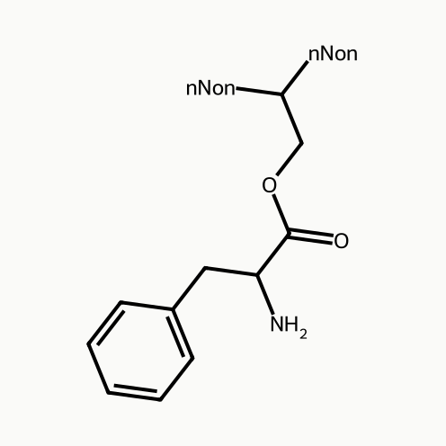 CCCCCCCCCC(CCCCCCCCC)COC(=O)C(N)Cc1ccccc1